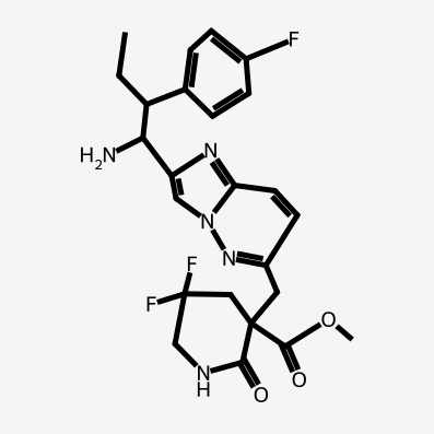 CCC(c1ccc(F)cc1)C(N)c1cn2nc(CC3(C(=O)OC)CC(F)(F)CNC3=O)ccc2n1